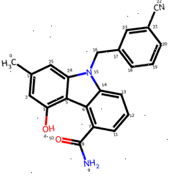 Cc1cc(O)c2c3c(C(N)=O)cccc3n(Cc3cccc(C#N)c3)c2c1